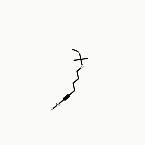 COC(C)(C)OCCCCC#[C][Mg][Cl]